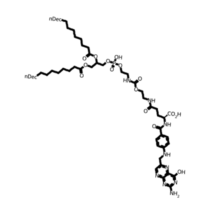 CCCCCCCCCCCCCCCCCC(=O)OCC(COP(=O)(O)OCCNC(=O)OCCNC(=O)CC[C@H](NC(=O)c1ccc(NCc2cnc3nc(N)nc(O)c3n2)cc1)C(=O)O)OC(=O)CCCCCCCCCCCCCCCCC